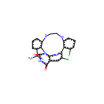 CC(C)c1cccc2c1-n1c(=O)[nH]c(=O)c3cc(F)c(nc31)-c1c(F)cccc1NCCN2